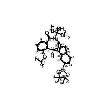 BC(B)(B)N1C(=O)c2cccc(OC(F)F)c2[C@H]2CC1c1nc3ccc(B4OC(C)(C)C(C)(C)O4)cc3n12